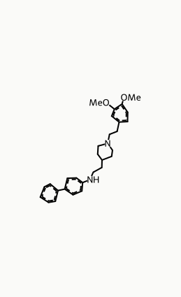 COc1ccc(CCN2CCC(CCNc3ccc(-c4ccccc4)cc3)CC2)cc1OC